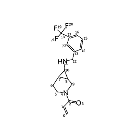 C=CC(=O)N1CCC2C(C1)C2NCc1cccc(C(F)(F)F)c1